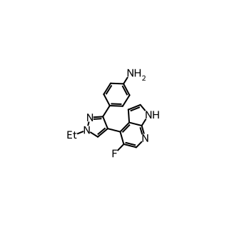 CCn1cc(-c2c(F)cnc3[nH]ccc23)c(-c2ccc(N)cc2)n1